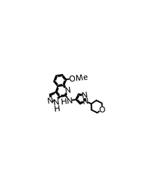 COc1cccc2c1nc(Nc1cnn(C3CCOCC3)c1)c1[nH]ncc12